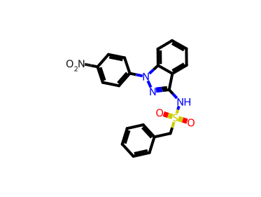 O=[N+]([O-])c1ccc(-n2nc(NS(=O)(=O)Cc3ccccc3)c3ccccc32)cc1